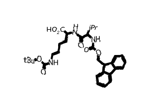 CC(C)C(NC(=O)OCC1c2ccccc2-c2ccccc21)C(=O)NC(CCCCNC(=O)OC(C)(C)C)C(=O)O